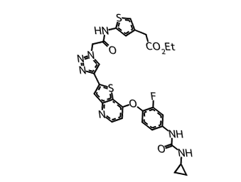 CCOC(=O)Cc1csc(NC(=O)Cn2cc(-c3cc4nccc(Oc5ccc(NC(=O)NC6CC6)cc5F)c4s3)nn2)c1